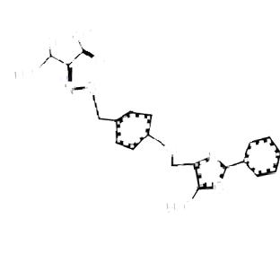 Cc1oc(-c2ccccc2)nc1COc1ccc(CO/N=C(\C(=O)O)C(C)C)cc1